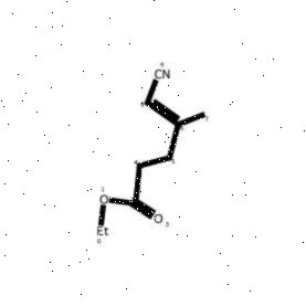 CCOC(=O)CCC(C)=CC#N